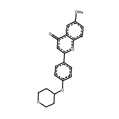 COc1ccc2oc(-c3ccc(OC4CCOCC4)cc3)cc(=O)c2c1